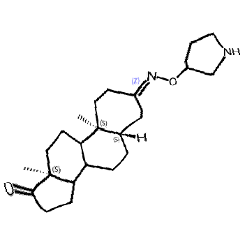 C[C@]12CCC3C(CC[C@H]4C/C(=N\OC5CCNC5)CC[C@]34C)C1CCC2=O